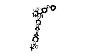 CC(C)(C)OC(=O)N1CCC2(CC1)CC(N1CC(N3CCC(n4nc(-c5ccc(Oc6ccccc6)cc5)c5c(N)ncnc54)CC3)C1)C2